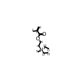 C=C(C)C(=O)OCC[N+](C)(CC)CC